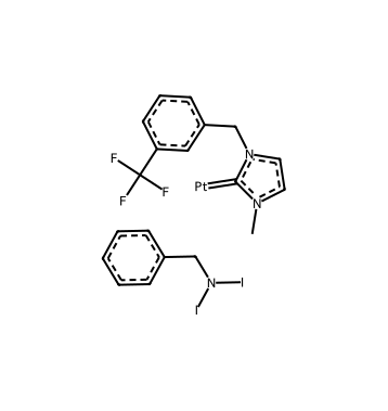 Cn1ccn(Cc2cccc(C(F)(F)F)c2)[c]1=[Pt].IN(I)Cc1ccccc1